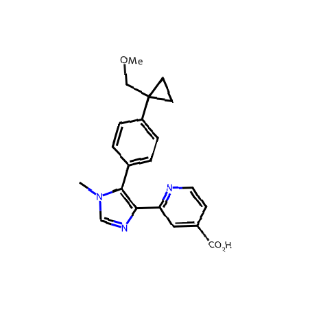 COCC1(c2ccc(-c3c(-c4cc(C(=O)O)ccn4)ncn3C)cc2)CC1